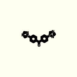 O=C(c1ccc(-n2cncn2)cc1)c1ccc(-n2cncn2)cc1